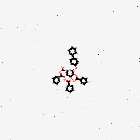 O=C(O[C@@H]1[C@H](OC(=O)c2ccccc2)[C@@H](Oc2ccc(-c3ccccc3)cc2)O[C@H](CO)[C@H]1OC(=O)c1ccccc1)c1ccccc1